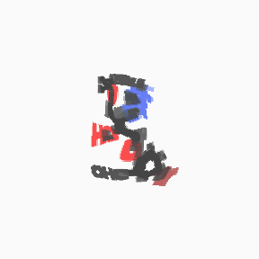 CC(C)(C)[Si](C)(C)OCC(N=[N+]=[N-])C(O)COc1ccc(Br)cc1C=O